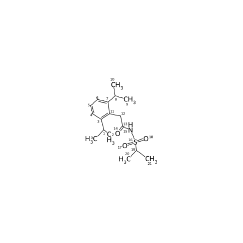 CC(C)c1cccc(C(C)C)c1CC(=O)NS(=O)(=O)C(C)C